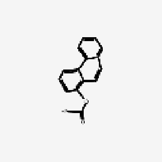 O=C(S)Oc1cccc2c1ccc1ccccc12